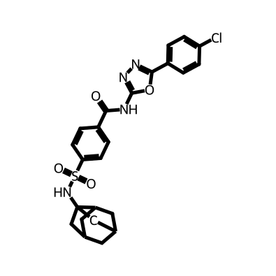 O=C(Nc1nnc(-c2ccc(Cl)cc2)o1)c1ccc(S(=O)(=O)NC23CC4CC(CC2C4)C3)cc1